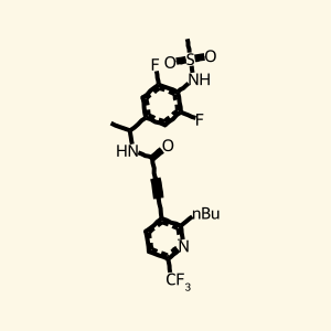 CCCCc1nc(C(F)(F)F)ccc1C#CC(=O)NC(C)c1cc(F)c(NS(C)(=O)=O)c(F)c1